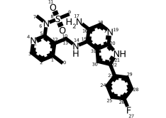 Cc1ccnc(N(C)S(C)(=O)=O)c1CNc1c(N)cnc2[nH]c(-c3ccc(F)cc3)cc12